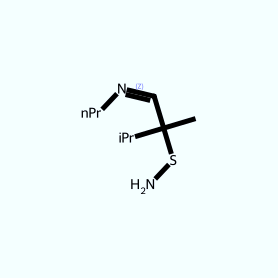 CCC/N=C\C(C)(SN)C(C)C